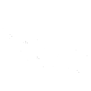 c1ccc(N2CCN(Cc3cc4ncccc4o3)CC2)nc1